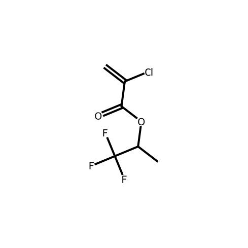 C=C(Cl)C(=O)OC(C)C(F)(F)F